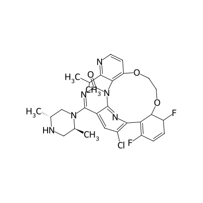 CC(C)c1nccc2c1-n1c(=O)nc(N3C[C@@H](C)NC[C@@H]3C)c3cc(Cl)c(nc31)C1=C(F)C=CC(F)C1OCCO2